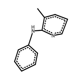 Cc1cccnc1Nc1ccccc1